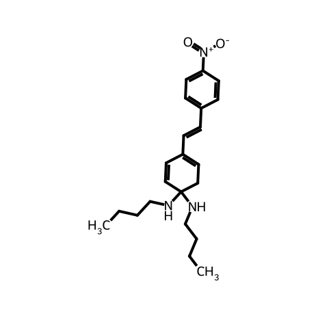 CCCCNC1(NCCCC)C=CC(/C=C/c2ccc([N+](=O)[O-])cc2)=CC1